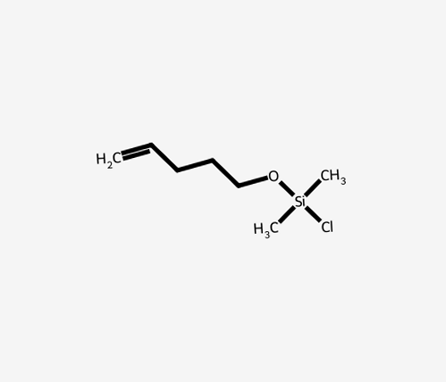 C=CCCCO[Si](C)(C)Cl